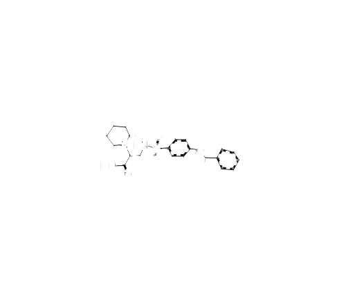 O=C(O)[C@H](CNS(=O)(=O)c1ccc(OCc2ccccc2)cc1)N1CCCCC1